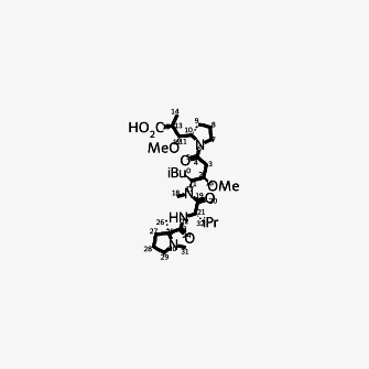 CC[C@H](C)[C@@H]([C@@H](CC(=O)N1CCC[C@H]1[C@H](OC)C(C)C(=O)O)OC)N(C)C(=O)[C@@H](NC(=O)[C@]1(C)CCCN1C)C(C)C